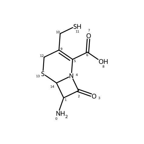 NC1C(=O)N2C(C(=O)O)=C(CS)CSC12